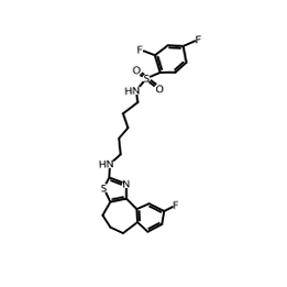 O=S(=O)(NCCCCCNc1nc2c(s1)CCCc1ccc(F)cc1-2)c1ccc(F)cc1F